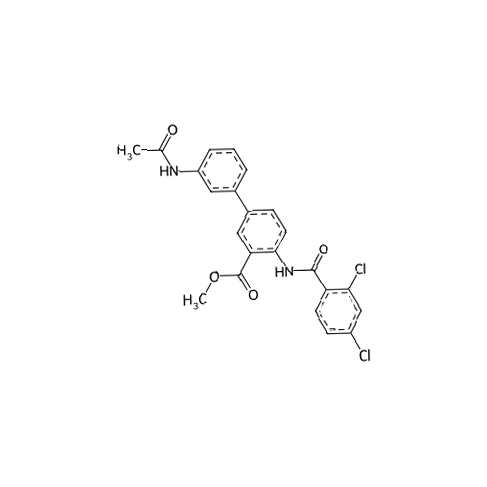 COC(=O)c1cc(-c2cccc(NC(C)=O)c2)ccc1NC(=O)c1ccc(Cl)cc1Cl